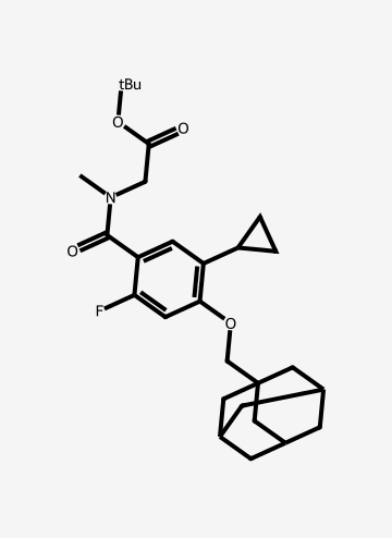 CN(CC(=O)OC(C)(C)C)C(=O)c1cc(C2CC2)c(OCC23CC4CC(CC(C4)C2)C3)cc1F